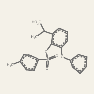 Cc1ccc(S(=O)(=O)Oc2c(Oc3ccccc3)cccc2C(C)C(=O)O)cc1